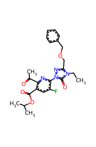 CCn1c(COCc2ccccc2)nn(-c2nc(C(C)=O)c(C(=O)OC(C)C)cc2F)c1=O